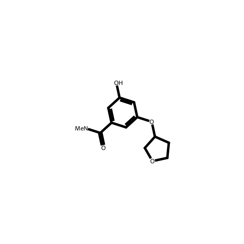 CNC(=O)c1cc(O)cc(OC2CCOC2)c1